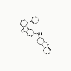 c1ccc(-c2cccc3oc4ccc(Nc5ccc6c(c5)oc5ccccc56)cc4c23)cc1